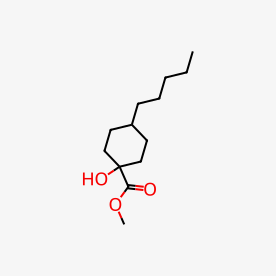 CCCCCC1CCC(O)(C(=O)OC)CC1